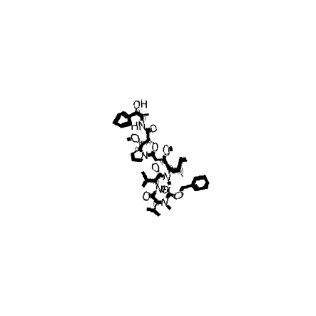 CC[C@H](C)[C@@H]([C@@H](CC(=O)N1CCC[C@H]1[C@H](OC)[C@@H](C)C(=O)N[C@H](C)[C@@H](O)c1ccccc1)OC)N(C)C(=O)[C@@H](NC(=O)[C@H](C(C)C)N(C)C(=O)OCc1ccccc1)C(C)C